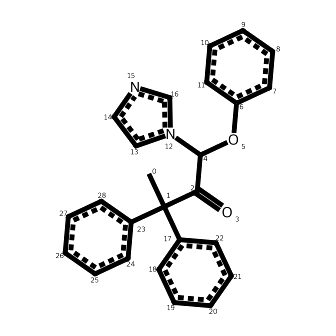 CC(C(=O)C(Oc1ccccc1)n1ccnc1)(c1ccccc1)c1ccccc1